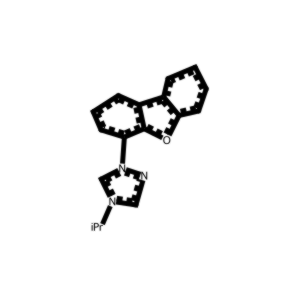 CC(C)[n+]1cnn(-c2cccc3c2oc2ccccc23)c1